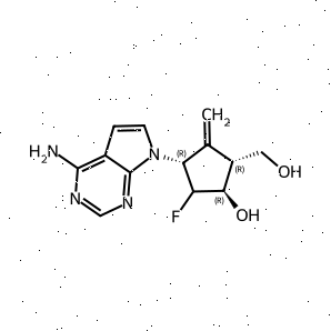 C=C1[C@@H](n2ccc3c(N)ncnc32)C(F)[C@H](O)[C@H]1CO